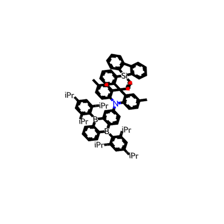 Cc1ccc2c(c1)C1(c3cc(C)ccc3N2c2ccc3c(c2)B(c2c(C(C)C)cc(C(C)C)cc2C(C)C)c2ccccc2B3c2c(C(C)C)cc(C(C)C)cc2C(C)C)c2ccccc2[Si]2(c3ccccc3-c3ccccc32)c2ccccc21